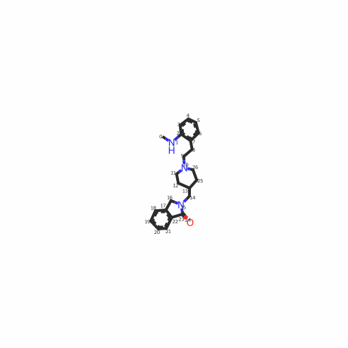 CNc1ccccc1CCN1CCC(CN2Cc3ccccc3C2=O)CC1